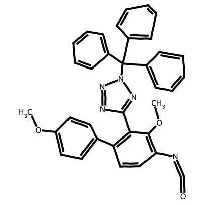 COc1ccc(-c2ccc(N=C=O)c(OC)c2-c2nnn(C(c3ccccc3)(c3ccccc3)c3ccccc3)n2)cc1